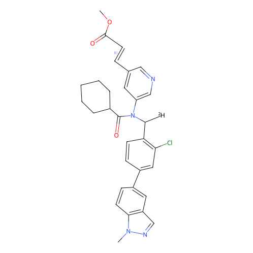 [2H]C(c1ccc(-c2ccc3c(cnn3C)c2)cc1Cl)N(C(=O)C1CCCCC1)c1cncc(/C=C/C(=O)OC)c1